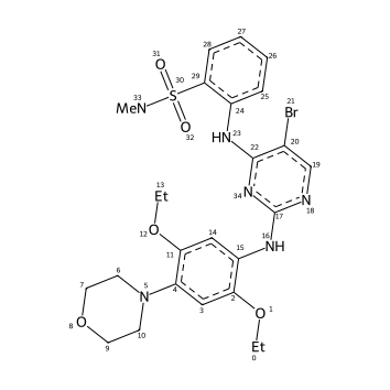 CCOc1cc(N2CCOCC2)c(OCC)cc1Nc1ncc(Br)c(Nc2ccccc2S(=O)(=O)NC)n1